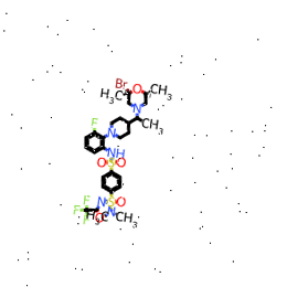 CC(C1CCN(c2c(F)cccc2NS(=O)(=O)c2ccc(S(=O)(=NC(=O)C(F)(F)F)N(C)C)cc2)CC1)N1C[C@@H](C)O[C@@](C)(Br)C1